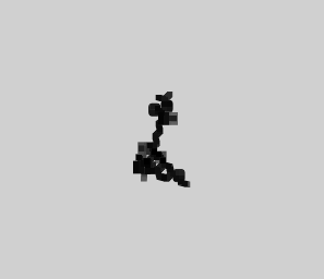 CCOc1ccc2c(c1)nc(NCCCCNC(=O)OC(C)C)c1nnc(C)n12